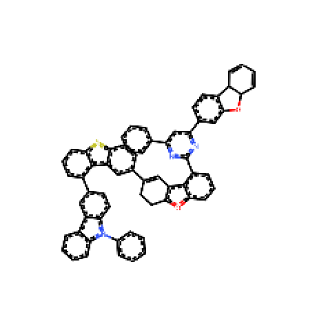 C1=CC2Oc3cc(-c4cc(-c5ccccc5)nc(-c5cccc6oc7c(c56)C=C(c5ccc6sc8cccc(-c9ccc%10c(c9)c9ccccc9n%10-c9ccccc9)c8c6c5)CC7)n4)ccc3C2C=C1